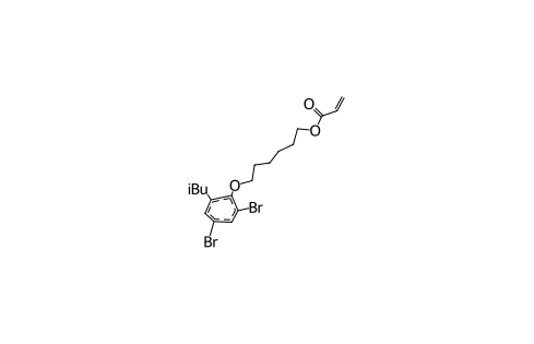 C=CC(=O)OCCCCCCOc1c(Br)cc(Br)cc1C(C)CC